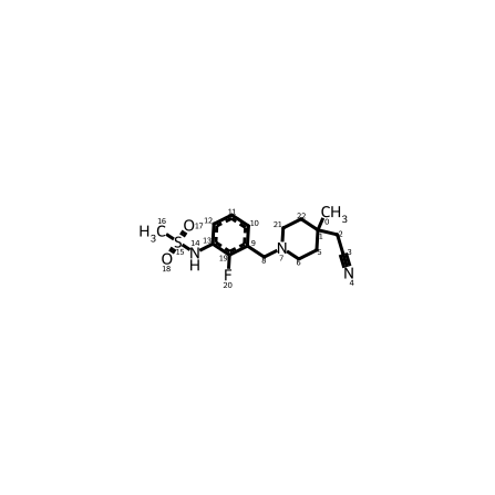 CC1(CC#N)CCN(Cc2cccc(NS(C)(=O)=O)c2F)CC1